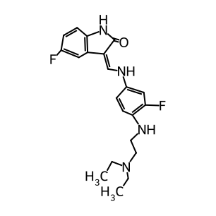 CCN(CC)CCNc1ccc(NC=C2C(=O)Nc3ccc(F)cc32)cc1F